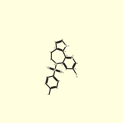 Cc1ccc(S(=O)(=O)N2CCc3ccsc3-c3ncc(F)cc32)cc1